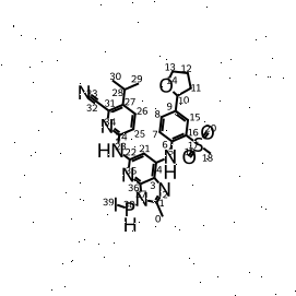 Cc1nc2c(Nc3ccc(C4CCCO4)cc3S(C)(=O)=O)cc(Nc3ccc(C(C)C)c(C#N)n3)nc2n1PI